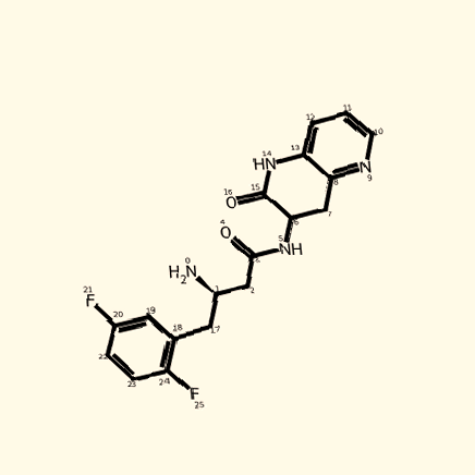 N[C@@H](CC(=O)NC1Cc2ncccc2NC1=O)Cc1cc(F)ccc1F